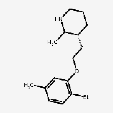 CCc1ccc(C)cc1OCC[C@H]1CCCNC1C